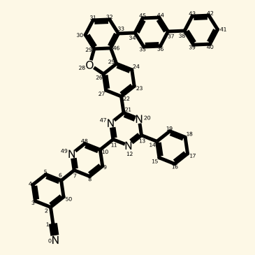 N#Cc1cccc(-c2ccc(-c3nc(-c4ccccc4)nc(-c4ccc5c(c4)oc4cccc(-c6ccc(-c7ccccc7)cc6)c45)n3)cn2)c1